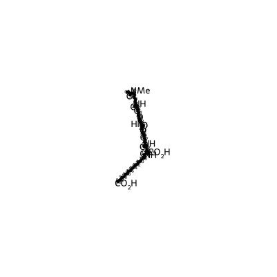 C=CC(=O)[C@H](CCCCNC(=O)COCCOCCNC(=O)COCCOCCNC(=O)CC[C@H](NC(=O)CCCCCCCCCCCCCCCCC(=O)O)C(=O)O)NC